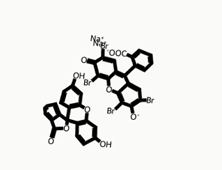 O=C([O-])c1ccccc1-c1c2cc(Br)c(=O)c(Br)c-2oc2c(Br)c([O-])c(Br)cc12.O=C1OC2(c3ccc(O)cc3Oc3cc(O)ccc32)c2ccccc21.[Na+].[Na+]